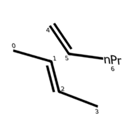 C/C=C/C.C=CCCC